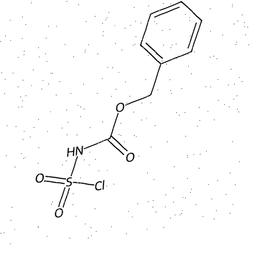 O=C(NS(=O)(=O)Cl)OCc1ccccc1